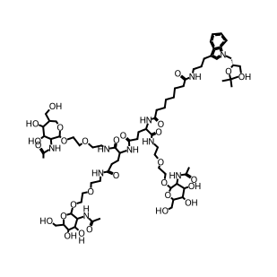 CC(=O)NC1C(OCCOCCNC(=O)C(CCC(=O)NCCOCCOC2OC(CO)C(O)C(O)C2NC(C)=O)NC(=O)CCC(NC(=O)CCCCCCC(=O)NCCCc2cn(C[C@H](CO)OC(C)(C)C)c3ccccc23)C(=O)NCCOCCOC2OC(CO)C(O)C(O)C2NC(C)=O)OCC(CO)C(O)C1O